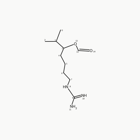 CC(C)C(CCCCNC(=N)N)O[C]=O